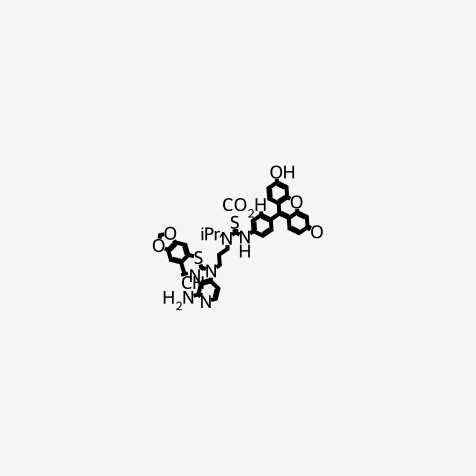 C#Cc1cc2c(cc1Sc1nc3c(N)nccc3n1CCCN(C(=S)Nc1ccc(-c3c4ccc(=O)cc-4oc4cc(O)ccc34)c(C(=O)O)c1)C(C)C)OCO2